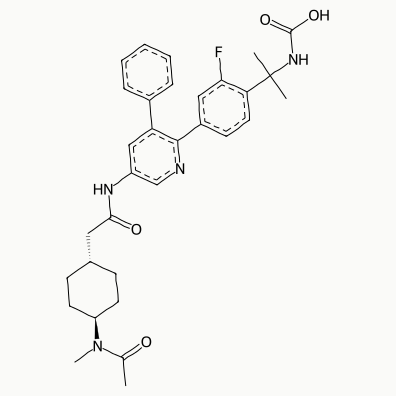 CC(=O)N(C)[C@H]1CC[C@H](CC(=O)Nc2cnc(-c3ccc(C(C)(C)NC(=O)O)c(F)c3)c(-c3ccccc3)c2)CC1